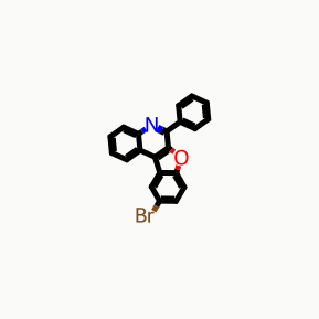 Brc1ccc2oc3c(-c4ccccc4)nc4ccccc4c3c2c1